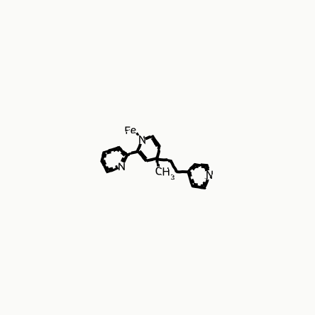 CC1(CCc2ccncc2)C=C[N]([Fe])C(c2ccccn2)=C1